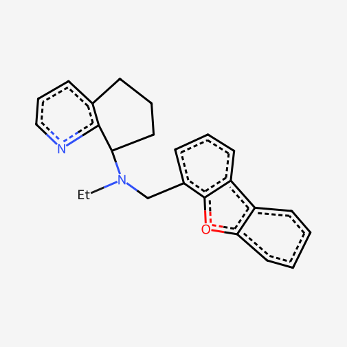 CCN(Cc1cccc2c1oc1ccccc12)C1CCCc2cccnc21